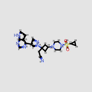 N#CCC1(n2cc(-c3ncnc4[nH]ccc34)cn2)CC(N2CCN(S(=O)(=O)C3CC3)CC2)C1